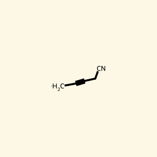 [CH2]C#CCC#N